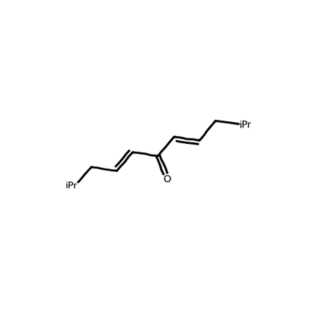 CC(C)CC=CC(=O)C=CCC(C)C